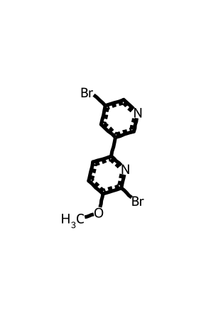 COc1ccc(-c2cncc(Br)c2)nc1Br